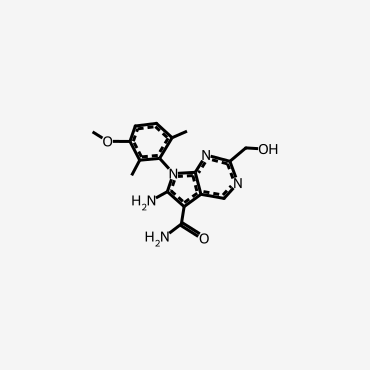 COc1ccc(C)c(-n2c(N)c(C(N)=O)c3cnc(CO)nc32)c1C